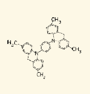 Cc1ccc2c(c1)Cc1cc(C)ccc1N2c1ccc(N2c3ccc(C)cc3Cc3cc(C)ccc32)cc1